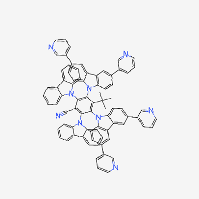 CC(C)(C)c1c(-n2c3ccc(-c4cccnc4)cc3c3cc(-c4cccnc4)ccc32)c(-n2c3ccccc3c3ccccc32)c(C#N)c(-n2c3ccccc3c3ccccc32)c1-n1c2ccc(-c3cccnc3)cc2c2cc(-c3cccnc3)ccc21